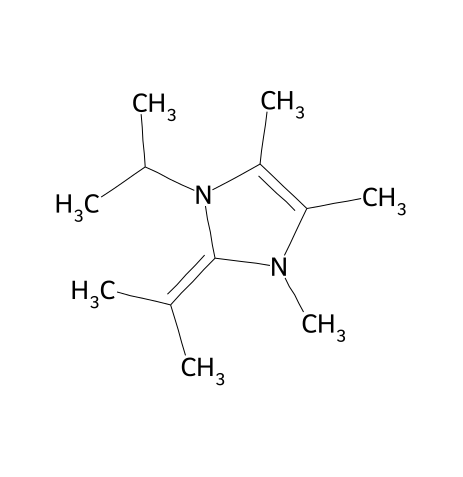 CC(C)=C1N(C)C(C)=C(C)N1C(C)C